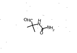 CC(C)([C]=O)NC(N)=O